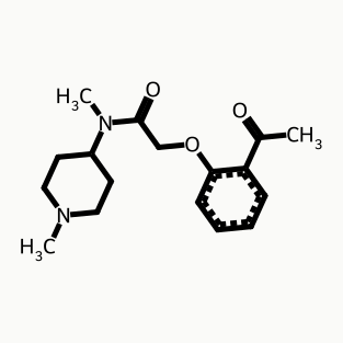 CC(=O)c1ccccc1OCC(=O)N(C)C1CCN(C)CC1